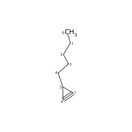 CCCCCC1C#C1